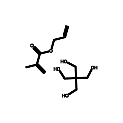 C=CCOC(=O)C(=C)C.OCC(CO)(CO)CO